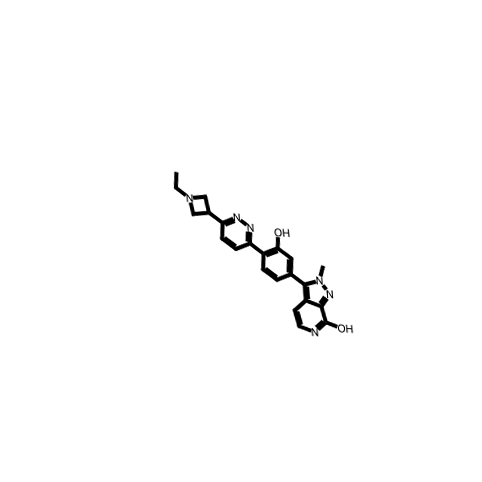 CCN1CC(c2ccc(-c3ccc(-c4c5ccnc(O)c5nn4C)cc3O)nn2)C1